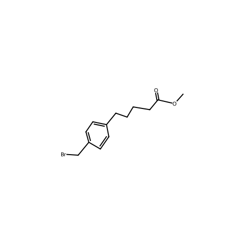 COC(=O)CCCCc1ccc(CBr)cc1